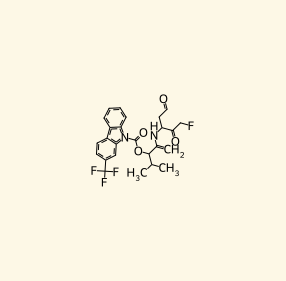 C=C(NC(CC=O)C(=O)CF)C(OC(=O)n1c2ccccc2c2ccc(C(F)(F)F)cc21)C(C)C